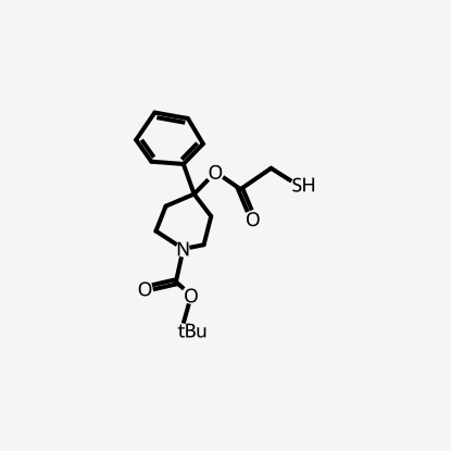 CC(C)(C)OC(=O)N1CCC(OC(=O)CS)(c2ccccc2)CC1